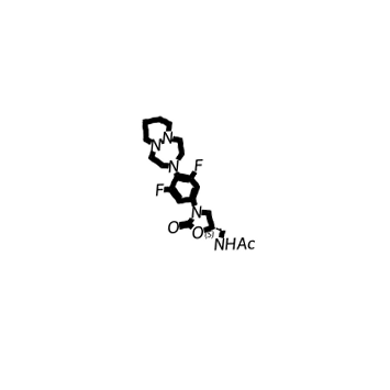 CC(=O)NC[C@H]1CN(c2cc(F)c(N3CCN4CCCCN4CC3)c(F)c2)C(=O)O1